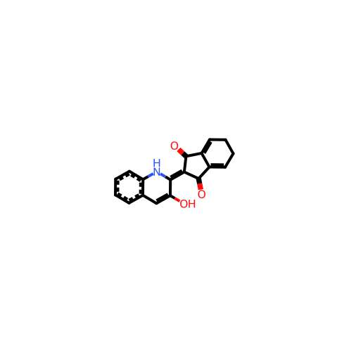 O=C1C2=CCCC=C2C(=O)C1=C1Nc2ccccc2C=C1O